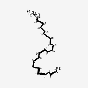 CC/C=C\C/C=C\C/C=C\C/C=C\C/C=C\CCCCCCCOP